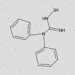 N=C(NS)N(c1ccccc1)c1ccccc1